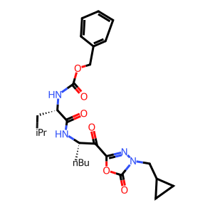 CCCC[C@H](NC(=O)[C@H](CC(C)C)NC(=O)OCc1ccccc1)C(=O)c1nn(CC2CC2)c(=O)o1